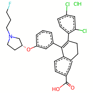 Cl.O=C(O)c1ccc2c(c1)CCC(c1ccc(Cl)cc1Cl)=C2c1cccc(O[C@@H]2CCN(CCCF)C2)c1